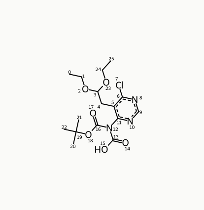 CCOC(Cc1c(Cl)ncnc1N(C(=O)O)C(=O)OC(C)(C)C)OCC